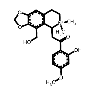 COc1ccc(C(=O)CC2c3c(cc4c(c3CO)OCO4)CC[N+]2(C)C)c(O)c1